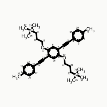 Cc1ccc(C#Cc2cc(OCCC[N+](C)(C)C)c(C#Cc3ccc(C)cc3)cc2OCCC[N+](C)(C)C)cc1